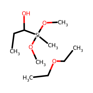 CCC(O)[Si](C)(OC)OC.CCOCC